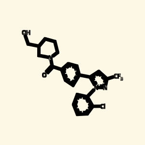 O=C(c1ccc(-c2cc(C(F)(F)F)nn2-c2ccccc2Cl)cc1)N1CCCC(CO)C1